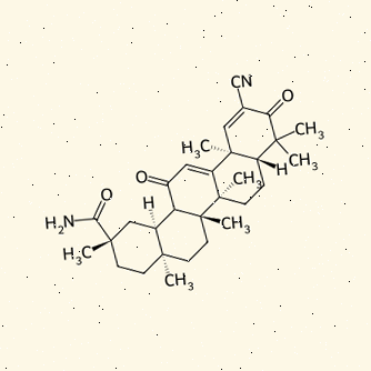 CC1(C)C(=O)C(C#N)=C[C@]2(C)C3=CC(=O)C4[C@@H]5C[C@@](C)(C(N)=O)CC[C@]5(C)CC[C@@]4(C)[C@]3(C)CC[C@@H]12